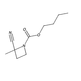 CCCCOC(=O)N1CCC1(C)C#N